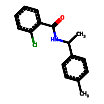 Cc1ccc(C(C)NC(=O)c2ccccc2Cl)cc1